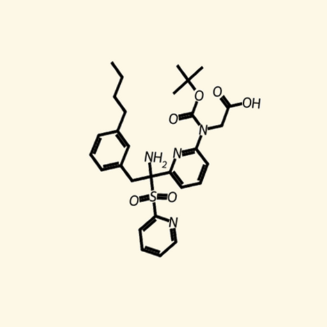 CCCCc1cccc(CC(N)(c2cccc(N(CC(=O)O)C(=O)OC(C)(C)C)n2)S(=O)(=O)c2ccccn2)c1